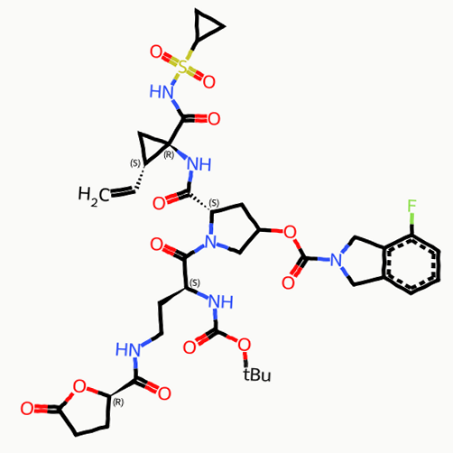 C=C[C@@H]1C[C@]1(NC(=O)[C@@H]1CC(OC(=O)N2Cc3cccc(F)c3C2)CN1C(=O)[C@H](CCNC(=O)[C@H]1CCC(=O)O1)NC(=O)OC(C)(C)C)C(=O)NS(=O)(=O)C1CC1